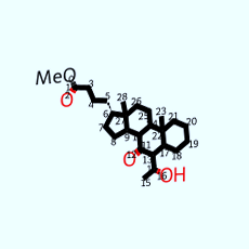 COC(=O)CCC[C@H]1CCC2C3C(=O)C(C(C)O)C4CCCCC4(C)C3CCC21C